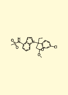 CCC(CC(=O)OC)(c1ccc(Cl)cc1)n1ccc2c(NS(C)(=O)=O)cccc21